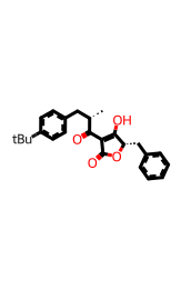 C[C@@H](Cc1ccc(C(C)(C)C)cc1)C(=O)C1=C(O)[C@H](Cc2ccccc2)OC1=O